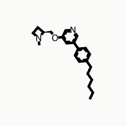 CCCCCCc1ccc(-c2cncc(OC[C@@H]3CCN3C)c2)cc1